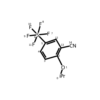 CC(C)Oc1ccc(S(F)(F)(F)(F)F)cc1C#N